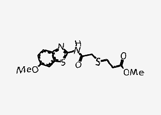 COC(=O)CCSCC(=O)Nc1nc2ccc(OC)cc2s1